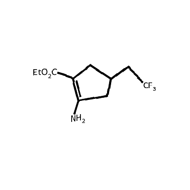 CCOC(=O)C1=C(N)CC(CC(F)(F)F)C1